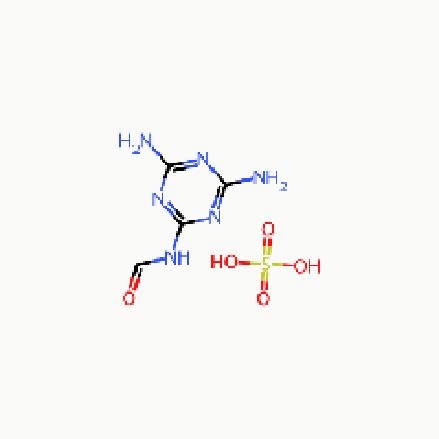 Nc1nc(N)nc(NC=O)n1.O=S(=O)(O)O